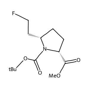 COC(=O)[C@H]1CC[C@@H](CCF)N1C(=O)OC(C)(C)C